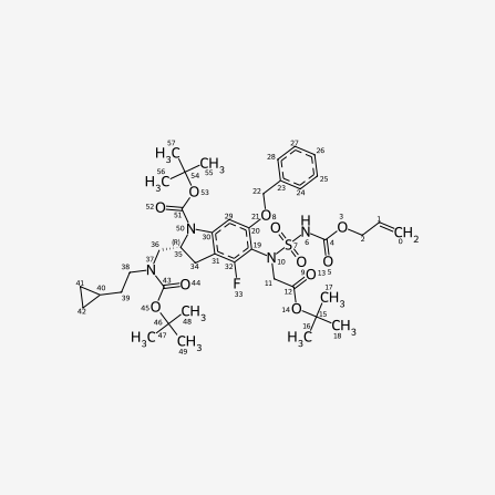 C=CCOC(=O)NS(=O)(=O)N(CC(=O)OC(C)(C)C)c1c(OCc2ccccc2)cc2c(c1F)C[C@H](CN(CCC1CC1)C(=O)OC(C)(C)C)N2C(=O)OC(C)(C)C